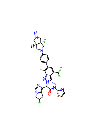 Cc1c(-c2ccc(N3C[C@@H]4CNC[C@@]4(F)C3)cc2)cc(C(F)F)c2cn(C(C(=O)Nc3nccs3)c3ncn4c3C[C@@H](F)C4)nc12